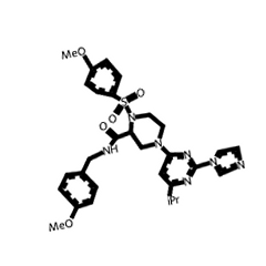 COc1ccc(CNC(=O)C2CN(c3cc(C(C)C)nc(-n4ccnc4)n3)CCN2S(=O)(=O)c2ccc(OC)cc2)cc1